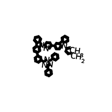 C=C/C=C\C(=C/C)n1c2ccccc2c2cc(-c3ccc(-n4c5ccccc5c5ccc(-c6cccc(-c7nc(-c8ccccc8)nc(-c8ccccc8)n7)c6)cc54)nc3)ccc21